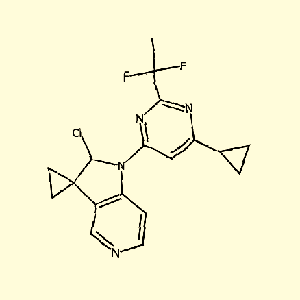 CC(F)(F)c1nc(C2CC2)cc(N2c3ccncc3C3(CC3)C2Cl)n1